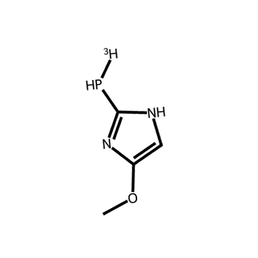 [3H]Pc1nc(OC)c[nH]1